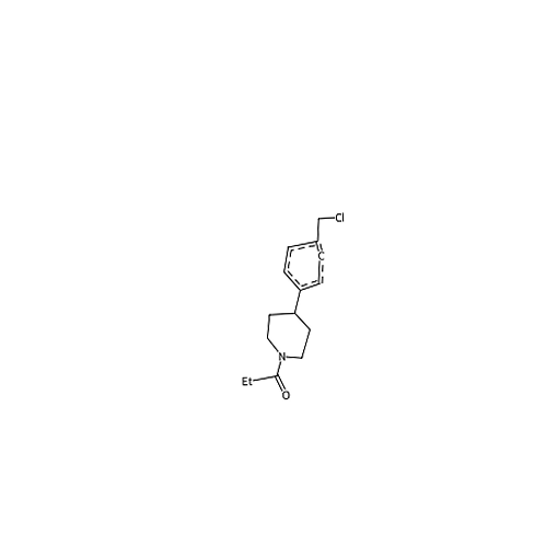 CCC(=O)N1CCC(c2ccc(CCl)cc2)CC1